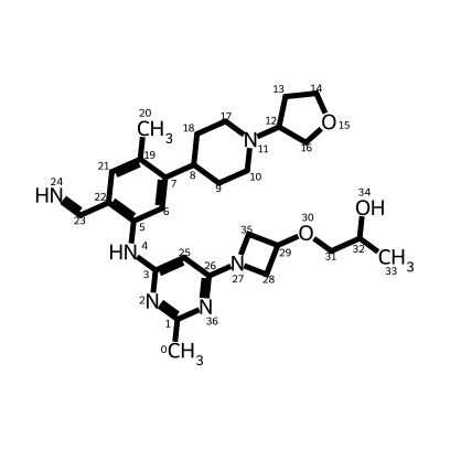 Cc1nc(Nc2cc(C3CCN(C4CCOC4)CC3)c(C)cc2C=N)cc(N2CC(OCC(C)O)C2)n1